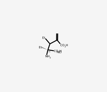 C=C(C(=O)O)C(CC)[C@@](N)(CC)C(=O)O.Cl